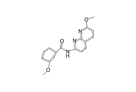 COc1cccc(C(=O)Nc2ccc3ccc(OC)nc3n2)c1